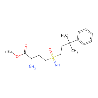 CCCCOC(=O)[C@@H](N)CCS(=N)(=O)CCC(C)(C)c1ccccc1